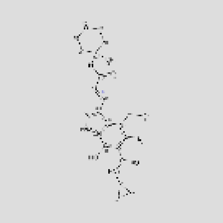 CC(C)Cn1c(=N)c(C(=O)NC2CC2)c(O)n2ncc(/C=C/C(=O)NC3(C)CCOCC3)c12